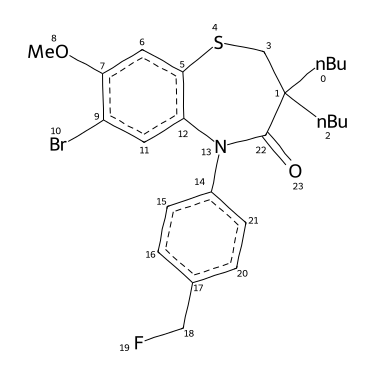 CCCCC1(CCCC)CSc2cc(OC)c(Br)cc2N(c2ccc(CF)cc2)C1=O